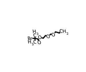 C=CCOCOCCOC(=O)C(C)(C)Br